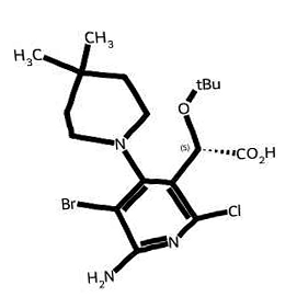 CC1(C)CCN(c2c(Br)c(N)nc(Cl)c2[C@H](OC(C)(C)C)C(=O)O)CC1